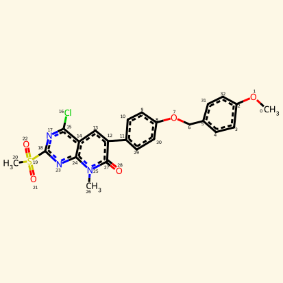 COc1ccc(COc2ccc(-c3cc4c(Cl)nc(S(C)(=O)=O)nc4n(C)c3=O)cc2)cc1